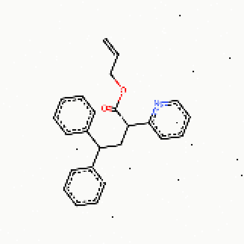 C=CCOC(=O)C(CC(c1ccccc1)c1ccccc1)c1ccccn1